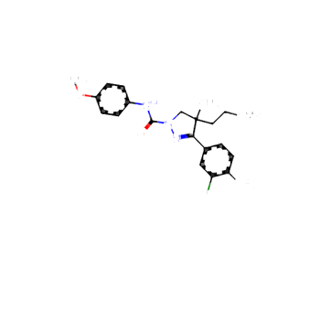 CSCCC1(C)CN(C(=O)Nc2ccc(OC(F)(F)F)cc2)N=C1c1ccc(C(F)(F)F)c(Cl)c1